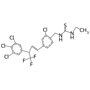 CCNC(=S)NCc1ccc(C=CC(c2cc(Cl)c(Cl)c(Cl)c2)C(F)(F)F)cc1Cl